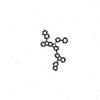 c1ccc(-c2cccc(-n3c4ccc(-c5ccc6c(c5)-c5ccccc5C6c5ccc6ccccc6c5)cc4c4cc5c(cc43)C(c3ccc4ccccc4c3)c3ccccc3-5)c2)cc1